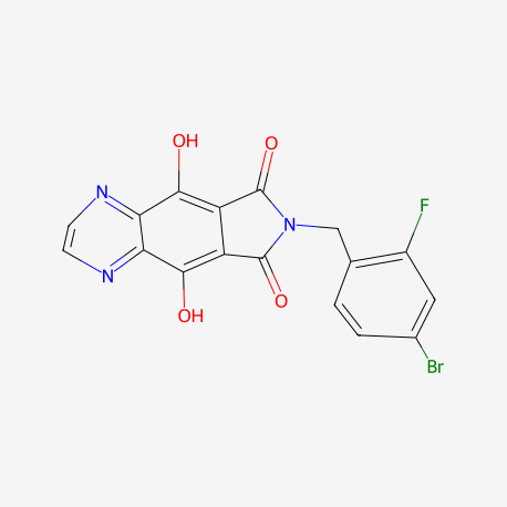 O=C1c2c(c(O)c3nccnc3c2O)C(=O)N1Cc1ccc(Br)cc1F